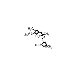 C[C@@H]1C[C@@H](COC(C)(C)CC2C[C@@H](COC(C)(C)C)N(C)C2)N(C)C1